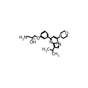 CC(C)c1cnn2c(N3CCOCC3)cc(-c3cccc(OC[C@@H](O)CN)c3)nc12